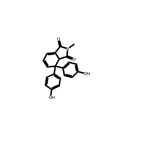 CN1C(=O)C2=CC=CC(c3ccc(O)cc3)(c3ccc(O)cc3)C2C1=O